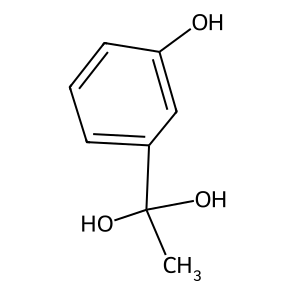 CC(O)(O)c1cccc(O)c1